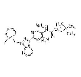 CC(C)(C)COC(=O)Nc1c(N)nc(-c2nn(Cc3ccccc3F)c3ncccc23)nc1N